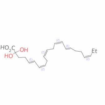 CC/C=C\CC/C=C/C=C\C/C=C\C/C=C\C=C\CCC(O)(O)C(=O)O